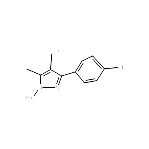 Cc1ccc(-c2nn(C(C)(C)C)c(Br)c2C=O)cc1